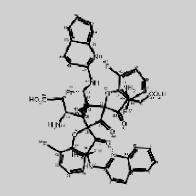 CC(C)[C@H](Nc1ccc2ccccc2n1)C(=O)C(Oc1c(F)cccc1F)(C(=O)[C@@H](N)CC(=O)O)C(=O)C(Oc1c(F)cccc1F)(C(=O)[C@@H](Nc1ccc2ccccc2n1)C(C)C)C(=O)[C@@H](N)CC(=O)O